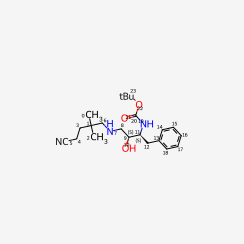 CC(C)(CCC#N)CNC[C@H](O)[C@H](Cc1ccccc1)NC(=O)OC(C)(C)C